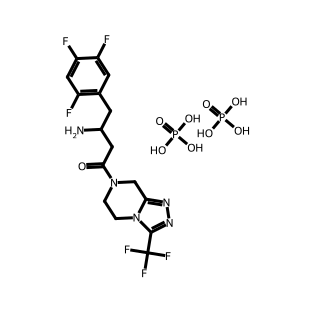 NC(CC(=O)N1CCn2c(nnc2C(F)(F)F)C1)Cc1cc(F)c(F)cc1F.O=P(O)(O)O.O=P(O)(O)O